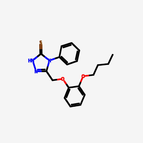 CCCCOc1ccccc1OCc1n[nH]c(=S)n1-c1ccccc1